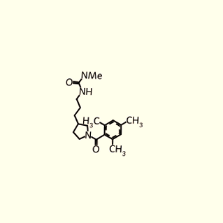 CNC(=O)NCCCC1CCN(C(=O)c2c(C)cc(C)cc2C)C1